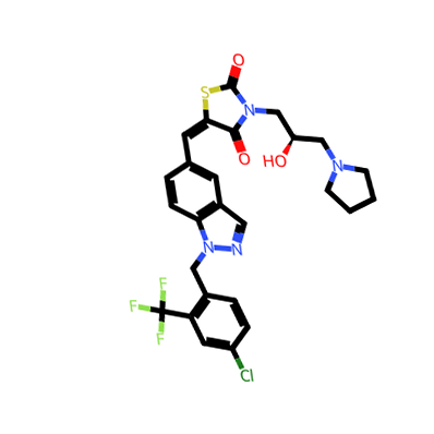 O=C1SC(=Cc2ccc3c(cnn3Cc3ccc(Cl)cc3C(F)(F)F)c2)C(=O)N1C[C@H](O)CN1CCCC1